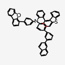 c1cc(-c2ccc(N(c3ccc(-c4cccc5c4oc4ccccc45)cc3)c3ccccc3-c3cccc4sc5ccccc5c34)cc2)cc(-c2ccc3ccccc3c2)c1